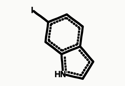 Ic1ccc2cc[nH]c2c1